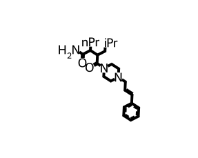 CCCC(C(N)=O)C(CC(C)C)C(=O)N1CCN(CC=Cc2ccccc2)CC1